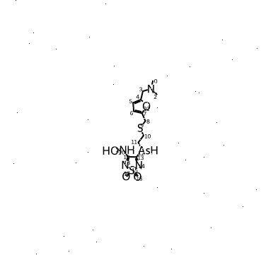 CN(C)Cc1ccc(CSCC[AsH]C2=NS(=O)(=O)N=C2NO)o1